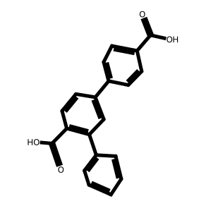 O=C(O)c1ccc(-c2ccc(C(=O)O)c(-c3ccccc3)c2)cc1